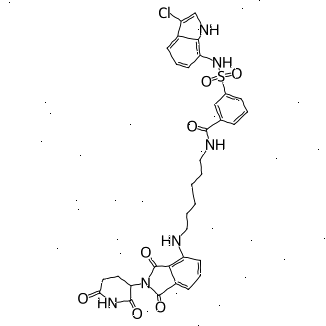 O=C1CCC(N2C(=O)c3cccc(NCCCCCCNC(=O)c4cccc(S(=O)(=O)Nc5cccc6c(Cl)c[nH]c56)c4)c3C2=O)C(=O)N1